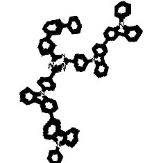 c1ccc(-c2cccc(-c3cccc(-c4nc(-c5ccc(-n6c7ccccc7c7cc(-c8ccc9c(c8)c8ccccc8n9-c8ccccc8)ccc76)cc5)nc(-c5ccc(-n6c7ccccc7c7cc(-c8ccc9c(c8)c8ccccc8n9-c8ccccc8)ccc76)cc5)n4)c3)c2)cc1